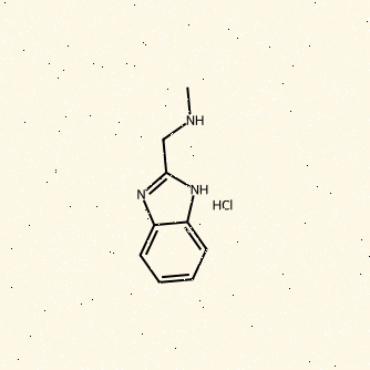 CNCc1nc2ccccc2[nH]1.Cl